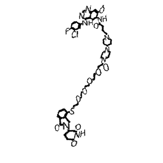 COc1cc2ncnc(Nc3ccc(F)c(Cl)c3)c2cc1NC(=O)/C=C/CN1CCC(N2CCN(C(=O)COCCOCCOCCOCCSc3cccc4c3CN(C3CCC(=O)NC3=O)C4=O)CC2)CC1